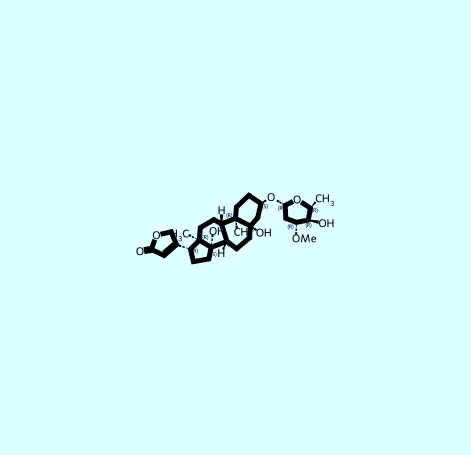 CO[C@@H]1C[C@H](O[C@H]2CC[C@]3(C)[C@H]4CC[C@]5(C)[C@@H](C6=CC(=O)OC6)CC[C@]5(O)[C@@H]4CC[C@]3(O)C2)O[C@H](C)[C@H]1O